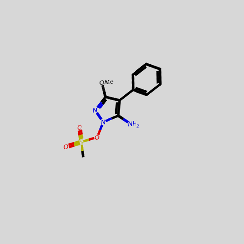 COc1nn(OS(C)(=O)=O)c(N)c1-c1ccccc1